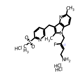 Cc1ccc2c(n1)c(Cc1ccc(S(C)(=O)=O)nc1)c(C)n2C/C(F)=C/CN.Cl.Cl.Cl